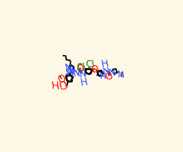 CCCCc1cc(NC(=O)Nc2ccc(Oc3ccnc(NC(=O)N4CCC(N(C)C)C4)c3)c(Cl)c2Cl)n(-c2ccc(CO)c(OC)c2)n1